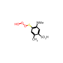 CNc1cc(S(=O)(=O)O)c(C)cc1SOOO